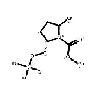 CC(C)(C)OC(=O)N1C(C#N)CC[C@H]1CO[Si](C)(C)C(C)(C)C